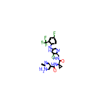 C=C/N=C\C(=C/N)C(=O)NC1(C(=O)NCc2ncc(Nc3ccc(F)cc3C(F)(F)F)cc2Cl)CC1